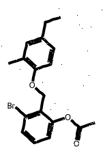 CCc1ccc(OCc2c(Br)cccc2OC(C)=O)c(C)c1